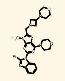 CCc1nc2ccccc2n1-c1nc(N2CCOCC2)c2nc(CN3CC(N4CCOCC4)C3)n(C)c2n1